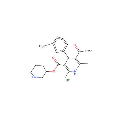 COC(=O)C1=C(C)NC(C)=C(C(=O)OC2CCCNC2)C1c1cccc([N+](=O)[O-])c1.Cl